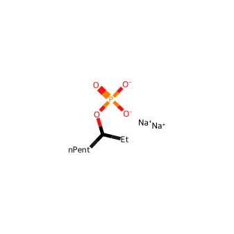 CCCCCC(CC)OP(=O)([O-])[O-].[Na+].[Na+]